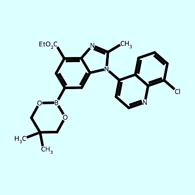 CCOC(=O)c1cc(B2OCC(C)(C)CO2)cc2c1nc(C)n2-c1ccnc2c(Cl)cccc12